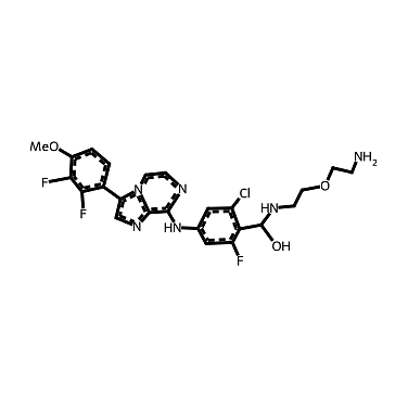 COc1ccc(-c2cnc3c(Nc4cc(F)c(C(O)NCCOCCN)c(Cl)c4)nccn23)c(F)c1F